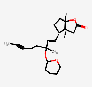 CC#CCCC(C)(/C=C/[C@H]1CC[C@@H]2OC(=O)C[C@@H]21)OC1CCCCO1